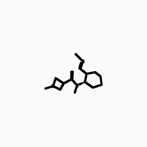 C/N=C/C1CCCC[C@@H]1N(C)C(=O)C1CN(C)C1